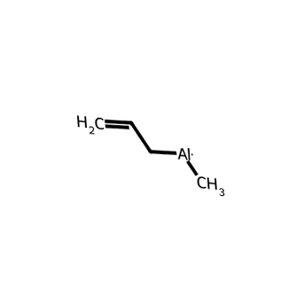 C=C[CH2][Al][CH3]